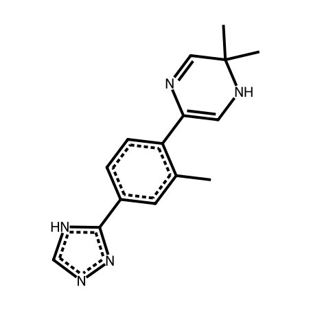 Cc1cc(-c2nnc[nH]2)ccc1C1=CNC(C)(C)C=N1